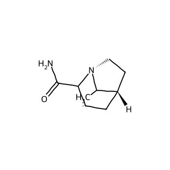 CC1[C@H]2C[CH]C(C(N)=O)[N@]1CC2